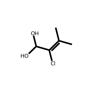 CC(C)=C(Cl)C(O)O